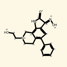 O=C1Nc2c(cc(-c3ccccc3)c3c2CN(CCO)CC3)/C1=N\O